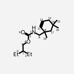 CCC(CC)COC(=O)NCC1(C)C#CCC(C)(C)C1